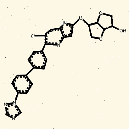 OC1COC2C(Oc3cc4nc(-c5ccc(-c6ccc(-n7cncn7)cc6)cc5)c(Cl)cc4[nH]3)COC12